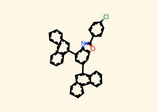 Clc1ccc(-c2nc3c(-c4cc5ccccc5c5ccccc45)cc(-c4cc5ccccc5c5ccccc45)cc3o2)cc1